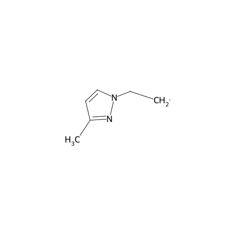 [CH2]Cn1ccc(C)n1